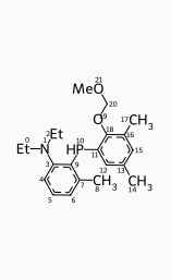 CCN(CC)c1cccc(C)c1Pc1cc(C)cc(C)c1OCOC